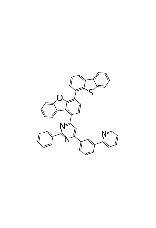 c1ccc(-c2nc(-c3cccc(-c4ccccn4)c3)cc(-c3ccc(-c4cccc5c4sc4ccccc45)c4oc5ccccc5c34)n2)cc1